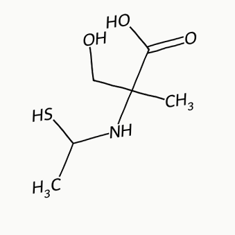 CC(S)NC(C)(CO)C(=O)O